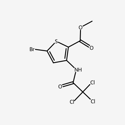 COC(=O)c1sc(Br)cc1NC(=O)C(Cl)(Cl)Cl